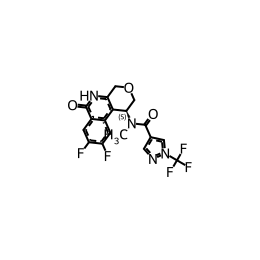 CN(C(=O)c1cnn(C(F)(F)F)c1)[C@@H]1COCc2[nH]c(=O)c3cc(F)c(F)cc3c21